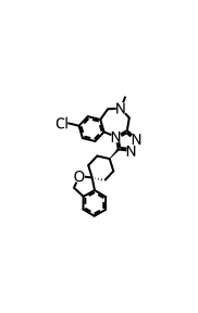 CN1Cc2cc(Cl)ccc2-n2c(nnc2[C@H]2CC[C@@]3(CC2)OCc2ccccc23)C1